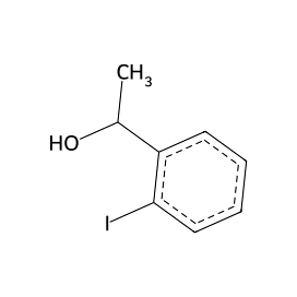 CC(O)c1ccccc1I